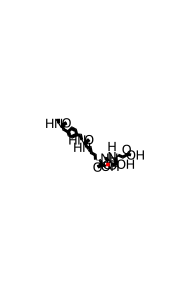 CNC(=O)Cc1ccc(CNC(=O)NCCCC[C@H](NC(=O)N[C@@H](CCC(=O)O)C(=O)O)C(=O)O)cc1